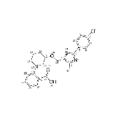 Cc1nc(-c2ccc(Cl)cc2)sc1COC1CCCN(c2ccccc2C(=O)O)C1